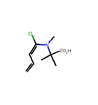 C=C/C=C(/Cl)N(C)C(C)(C)C(=O)O